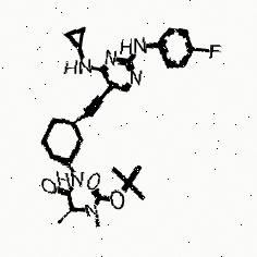 C[C@@H](C(=O)N[C@H]1CCC[C@@H](C#Cc2cnc(Nc3ccc(F)cc3)nc2NC2CC2)C1)N(C)C(=O)OC(C)(C)C